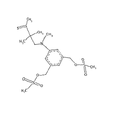 CN(CC(C)(C)S(C)=S)c1cc(COS(C)(=O)=O)cc(COS(C)(=O)=O)c1